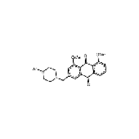 COc1cccc2c1C(=O)c1c(OC)cc(CN3CCN(C(C)=O)CC3)cc1C2=O